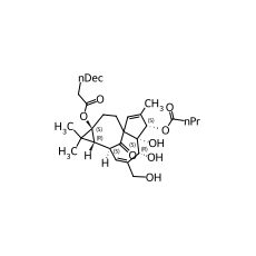 CCCCCCCCCCCC(=O)O[C@@]12CCC34C=C(C)[C@H](OC(=O)CCC)[C@@]3(O)[C@H](O)C(CO)=C[C@H](C4=O)[C@@H]1C2(C)C